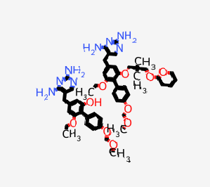 CCOc1cc(Cc2cnc(N)nc2N)cc(O)c1-c1ccc(OCOC)cc1.CCOc1cc(Cc2cnc(N)nc2N)cc(OCC(C)(C)COC2CCCCO2)c1-c1ccc(OCOC)cc1